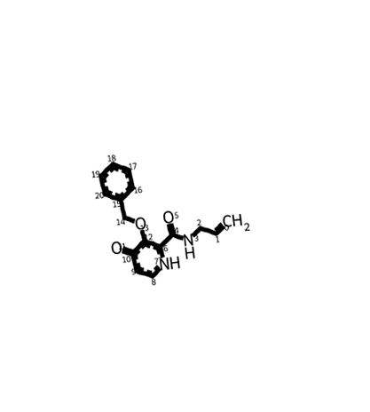 C=CCNC(=O)c1[nH]ccc(=O)c1OCc1ccccc1